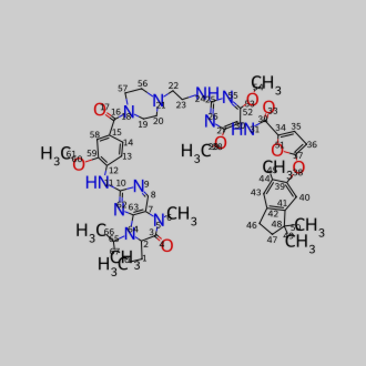 CCC1C(=O)N(C)c2cnc(Nc3ccc(C(=O)N4CCN(CCNc5nc(OC)c(NC(=O)c6ccc(Oc7cc8c(cc7C)CCC8(C)C)o6)c(OC)n5)CC4)cc3OC)nc2N1C(C)C